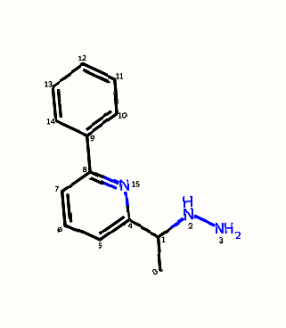 CC(NN)c1cccc(-c2ccccc2)n1